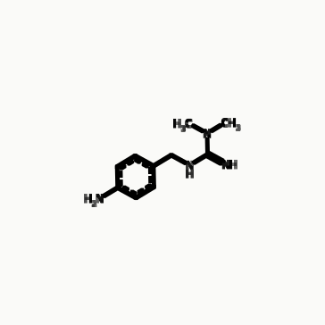 CN(C)C(=N)NCc1ccc(N)cc1